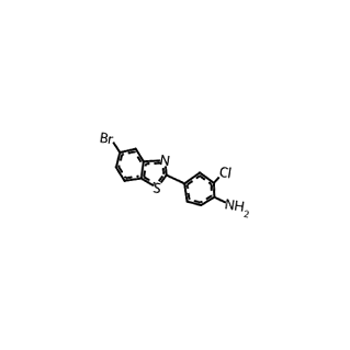 Nc1ccc(-c2nc3cc(Br)ccc3s2)cc1Cl